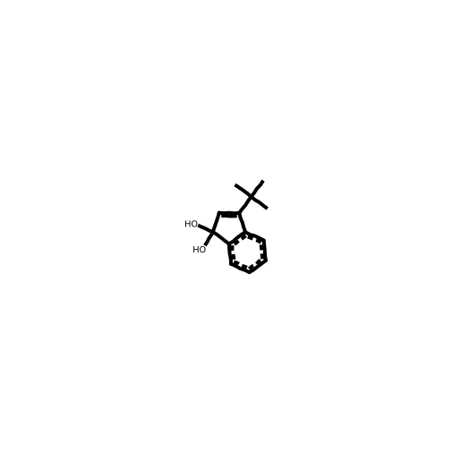 CC(C)(C)C1=CC(O)(O)c2ccccc21